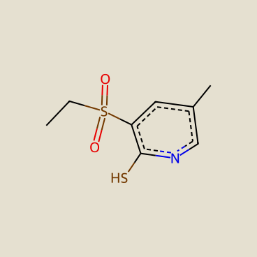 CCS(=O)(=O)c1cc(C)cnc1S